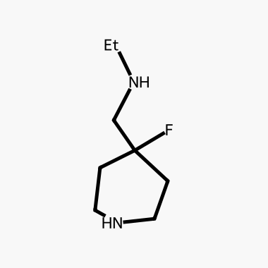 CCNCC1(F)CCNCC1